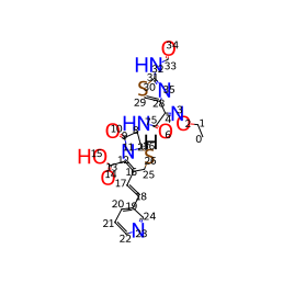 CCO/N=C(\C(=O)NC1C(=O)N2C(C(=O)O)=C(/C=C/c3cccnc3)CS[C@H]12)c1csc(NC=O)n1